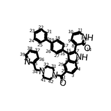 O=C(c1ccc2[nH]c(-c3ccc[nH]c3=O)c(-c3ccc(-c4ccccc4)cc3)c2c1)N1CCN(Cc2ccccn2)CC1